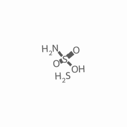 NS(=O)(=O)O.S